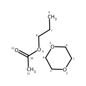 C1COCCO1.CCCOC(C)=O